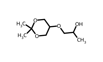 CC(O)COC1COC(C)(C)OC1